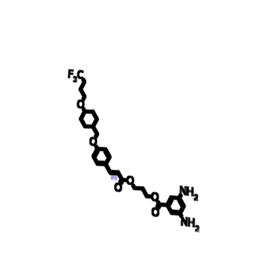 Nc1cc(N)cc(C(=O)OCCCOC(=O)/C=C/c2ccc(OCC3CCC(OCCCC(F)(F)F)CC3)cc2)c1